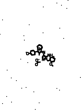 CC(=O)[O-].COc1ccc(C2=C(C)/C(=N\c3cnn(Cc4ccccc4OC)c3N)c3cccc[n+]32)cc1